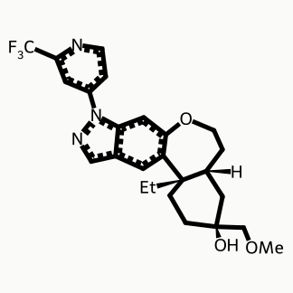 CC[C@]12CC[C@@](O)(COC)C[C@H]1CCOc1cc3c(cnn3-c3ccnc(C(F)(F)F)c3)cc12